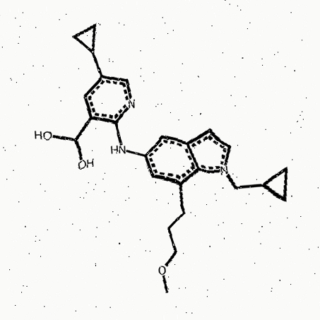 COCCCc1cc(Nc2ncc(C3CC3)cc2C(O)O)cc2ccn(CC3CC3)c12